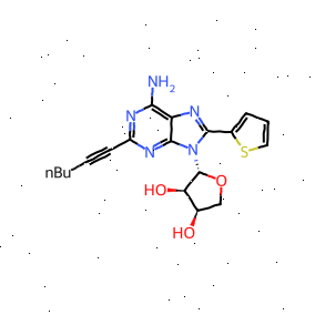 CCCCC#Cc1nc(N)c2nc(-c3cccs3)n([C@@H]3OC[C@@H](O)[C@H]3O)c2n1